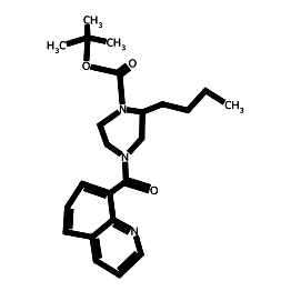 CCCCC1CN(C(=O)c2cccc3cccnc23)CCN1C(=O)OC(C)(C)C